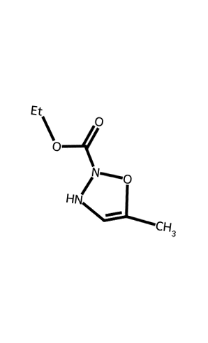 CCOC(=O)N1NC=C(C)O1